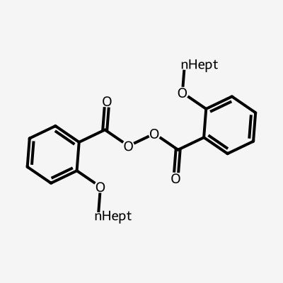 CCCCCCCOc1ccccc1C(=O)OOC(=O)c1ccccc1OCCCCCCC